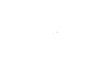 CCc1ccccc1C=C[SH]1C=CC=C1